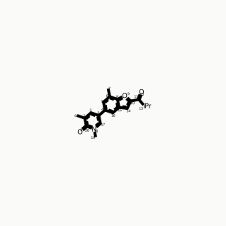 Cc1cc(-c2cc(C)c3oc(C(=O)C(C)C)cc3c2)cn(C)c1=O